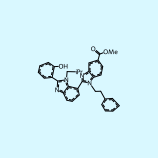 COC(=O)c1ccc2c(c1)nc(-c1cccc3nc(-c4ccccc4O)n(CC(C)C)c13)n2CCc1ccccc1